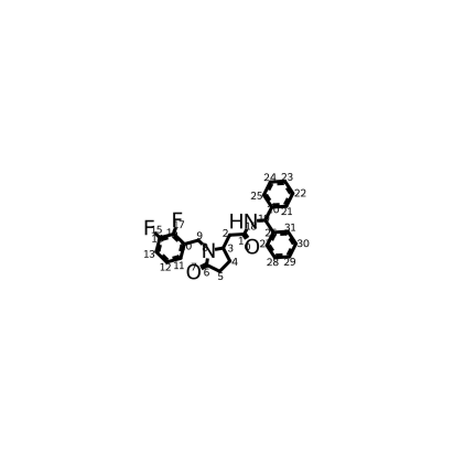 O=C(CC1CCC(=O)N1Cc1cccc(F)c1F)NC(c1ccccc1)c1ccccc1